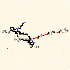 COCCOCCOCCOCCOCCOCCN1/C(=C/C=C/C=C/C=C/C2=[N+](CCCCCC(C)=O)c3ccc(S(=O)(=O)O)cc3C2(C)CCCS(=O)(=O)O)C(C)(CCCS(=O)(=O)O)c2cc(S(=O)(=O)O)ccc21